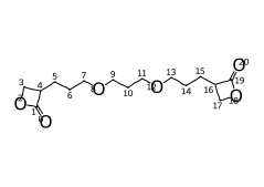 O=C1OCC1CCCOCCCOCCCC1COC1=O